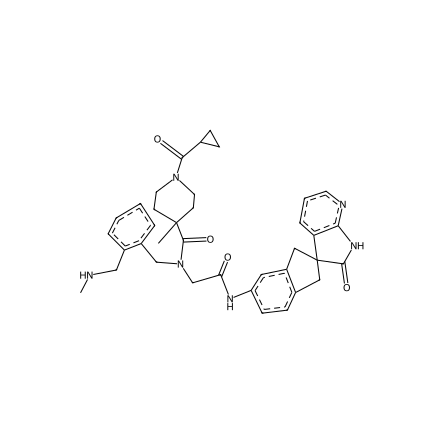 CNCc1ccccc1CN(CC(=O)Nc1ccc2c(c1)CC1(C2)C(=O)Nc2ncccc21)C(=O)C1(C)CCN(C(=O)C2CC2)CC1